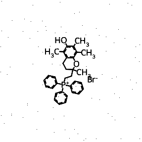 Cc1c(C)c2c(c(C)c1O)CCC(C)(CC[P+](c1ccccc1)(c1ccccc1)c1ccccc1)O2.[Br-]